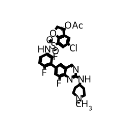 CC(=O)O[C@@H]1COc2c1cc(Cl)cc2S(=O)(=O)Nc1ccc(F)c(-c2cc(F)c3nc(NC4CCN(C)CC4)ncc3c2)c1F